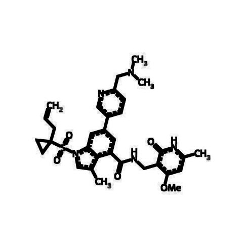 C=CCC1(S(=O)(=O)n2cc(C)c3c(C(=O)NCc4c(OC)cc(C)[nH]c4=O)cc(-c4ccc(CN(C)C)nc4)cc32)CC1